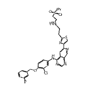 CC(C)S(=O)(=O)CCNCCc1nc(-c2cc3c(Nc4ccc(OCc5cccc(F)c5)c(Cl)c4)ncnc3cn2)cs1